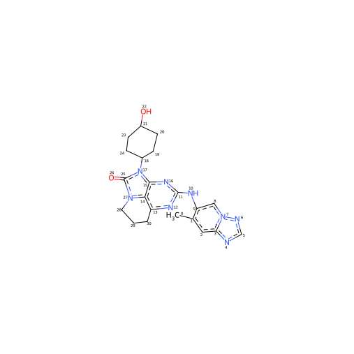 Cc1cc2ncnn2cc1Nc1nc2c3c(n1)n(C1CCC(O)CC1)c(=O)n3CCC2